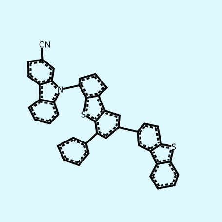 N#Cc1ccc2c3ccccc3n(-c3cccc4c3sc3c(-c5ccccc5)cc(-c5ccc6sc7ccccc7c6c5)cc34)c2c1